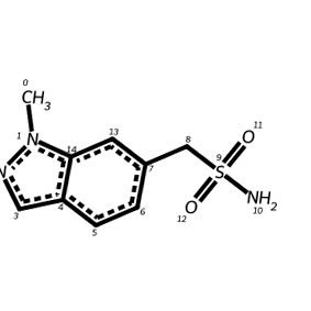 Cn1ncc2ccc(CS(N)(=O)=O)cc21